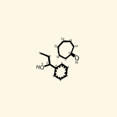 CCC(O)c1ccccc1.O=C1CCCCCC1